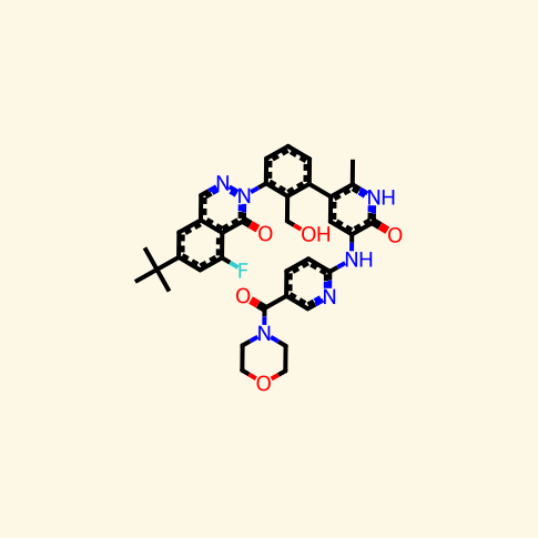 Cc1[nH]c(=O)c(Nc2ccc(C(=O)N3CCOCC3)cn2)cc1-c1cccc(-n2ncc3cc(C(C)(C)C)cc(F)c3c2=O)c1CO